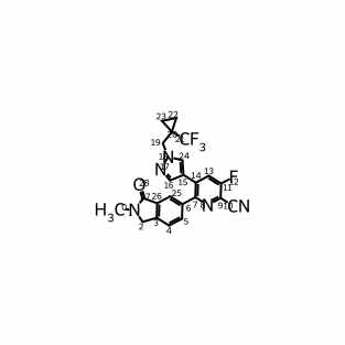 CN1Cc2ccc(-c3nc(C#N)c(F)cc3-c3cnn(CC4(C(F)(F)F)CC4)c3)cc2C1=O